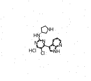 Cl.Clc1cnc(N[C@@H]2CCNC2)nc1-c1c[nH]c2ncccc12